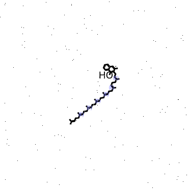 CC(C)=CCC/C(C)=C/CC/C(C)=C/CC/C(C)=C/CC/C(C)=C/CC/C(C)=C/CC/C(C)=C/Cc1c(C)[c]c2ccccc2c1O